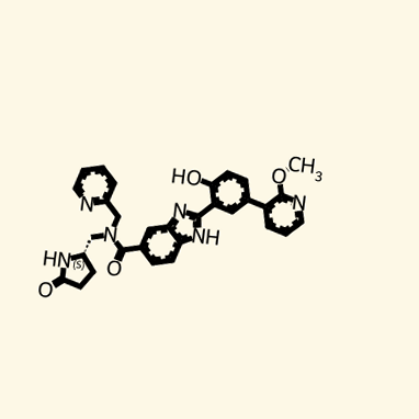 COc1ncccc1-c1ccc(O)c(-c2nc3cc(C(=O)N(Cc4ccccn4)C[C@@H]4CCC(=O)N4)ccc3[nH]2)c1